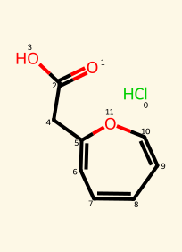 Cl.O=C(O)CC1=CC=CC=CO1